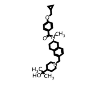 CN(C(=O)c1ccc(OCC2CC2)cc1)[C@H]1CCc2cc(CN3CCC(C(C)(C)O)CC3)ccc2C1